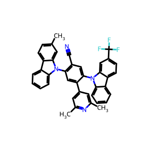 Cc1ccc2c3ccccc3n(-c3cc(-c4cc(C)nc(C)c4)c(-n4c5ccccc5c5ccc(C(F)(F)F)cc54)cc3C#N)c2c1